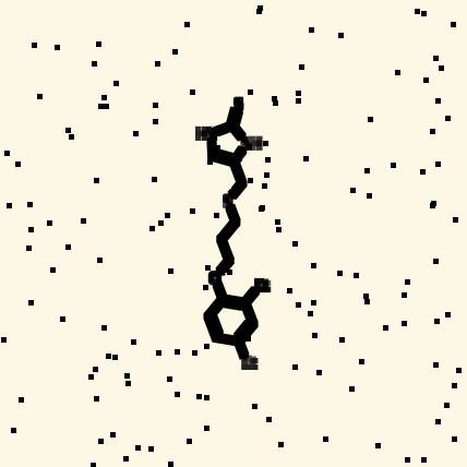 CCc1ccc(OCCCSCc2c[nH]c(=S)[nH]2)c(CC)c1